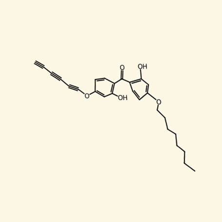 C#CC#CC#COc1ccc(C(=O)c2ccc(OCCCCCCCC)cc2O)c(O)c1